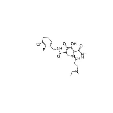 CCN(C)CCNn1cc(C(=O)NCC2=CCCC(Cl)=C2F)c(=O)c(O)c1C(=O)NC